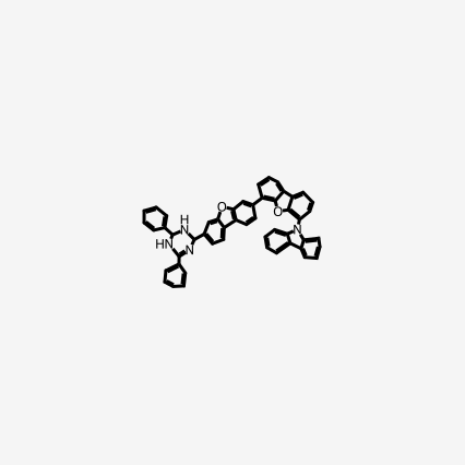 c1ccc(C2=NC(c3ccc4c(c3)oc3cc(-c5cccc6c5oc5c(-n7c8ccccc8c8ccccc87)cccc56)ccc34)NC(c3ccccc3)N2)cc1